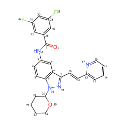 O=C(Nc1ccc2c(c1)c(/C=C/c1ccccn1)nn2C1CCCCO1)c1cc(F)cc(F)c1